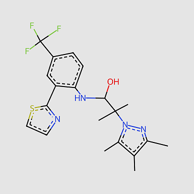 Cc1nn(C(C)(C)C(O)Nc2ccc(C(F)(F)F)cc2-c2nccs2)c(C)c1C